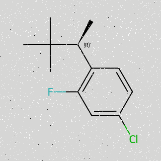 C[C@@H](c1ccc(Cl)cc1F)C(C)(C)C